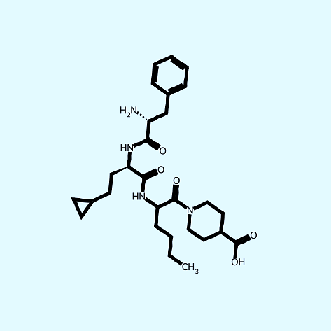 CCCCC(NC(=O)[C@@H](CCC1CC1)NC(=O)[C@H](N)Cc1ccccc1)C(=O)N1CCC(C(=O)O)CC1